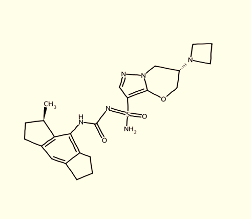 C[C@@H]1CCc2cc3c(c(NC(=O)N=S(N)(=O)c4cnn5c4OC[C@@H](N4CCC4)C5)c21)CCC3